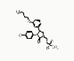 CCCCOc1cccc(C2CN(CCS(C)(=O)=O)C(=O)N2c2ccc(Cl)cc2)c1